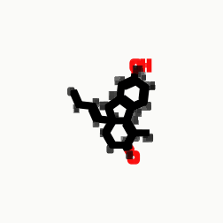 CCC=CC12CCC(=O)C(C)=C1c1ccc(O)cc1C2